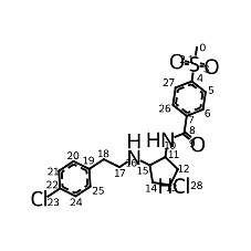 CS(=O)(=O)c1ccc(C(=O)NC2CCCC2NCCc2ccc(Cl)cc2)cc1.Cl